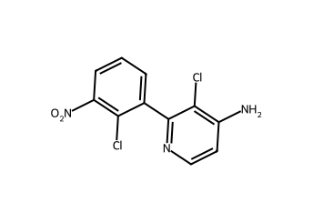 Nc1ccnc(-c2cccc([N+](=O)[O-])c2Cl)c1Cl